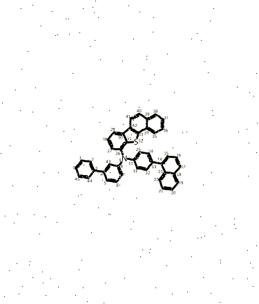 c1ccc(-c2cccc(N(c3ccc(-c4cccc5ccccc45)cc3)c3cccc4c3sc3c5ccccc5ccc43)c2)cc1